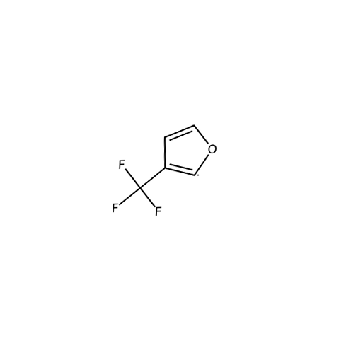 FC(F)(F)c1[c]occ1